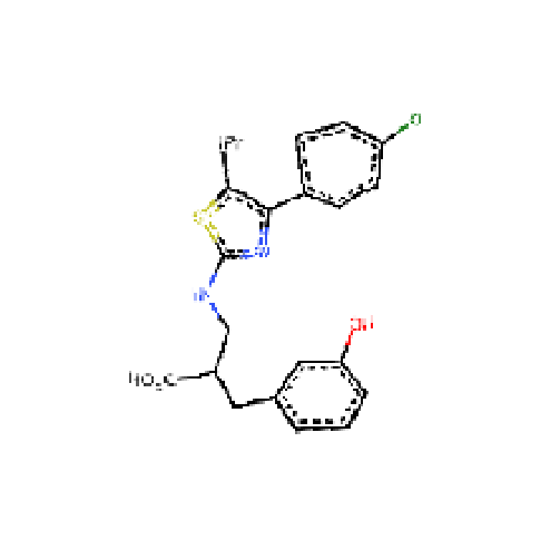 CC(C)c1sc(NCC(Cc2cccc(O)c2)C(=O)O)nc1-c1ccc(Cl)cc1